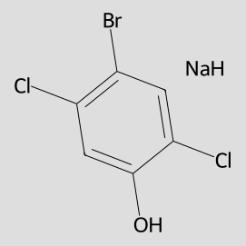 Oc1cc(Cl)c(Br)cc1Cl.[NaH]